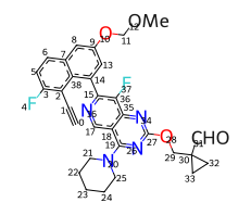 C#Cc1c(F)ccc2cc(OCOC)cc(-c3ncc4c(N5CCCCC5)nc(OCC5(C=O)CC5)nc4c3F)c12